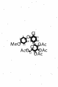 CO[C@H]1CC[C@@H](Oc2cc([C@@H]3O[C@H](COC(C)=O)[C@@H](OC(C)=O)[C@H](OC(C)=O)[C@H]3OC(C)=O)ccc2Cl)CC1